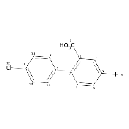 O=C(O)c1cc(F)ccc1-c1ccc(Cl)cc1